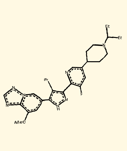 CCC(CC)N1CCC(c2cnc(-c3n[nH]c(-c4cc(OC)c5ncnn5c4)c3C(C)C)c(F)c2)CC1